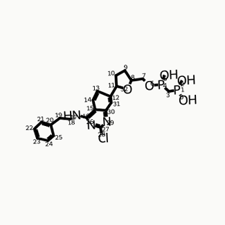 OP(O)CP(O)OCC1CCC(c2ccc3c(NCCc4ccccc4)nc(Cl)nc3c2)O1